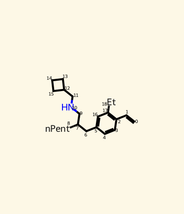 C=Cc1ccc(CC(CCCCC)CNCC2CCC2)cc1CC